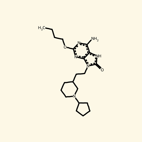 CCCCOc1nc(N)c2[nH]c(=O)n(CCC3CCCN(C4CCCC4)C3)c2n1